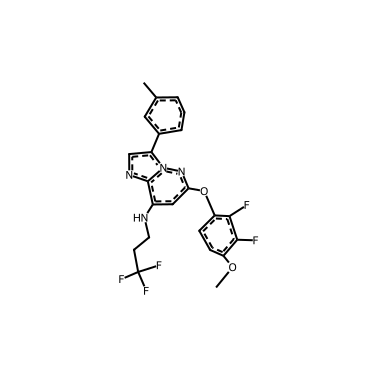 COc1ccc(Oc2cc(NCCC(F)(F)F)c3ncc(-c4cccc(C)c4)n3n2)c(F)c1F